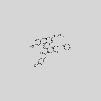 CCOC(=O)CN(Cc1ccc(O)cc1)C(=O)CC1C(=O)N(C(Cl)Cc2ccc(Cl)cc2)CC(=O)N1CCCN1CCOCC1